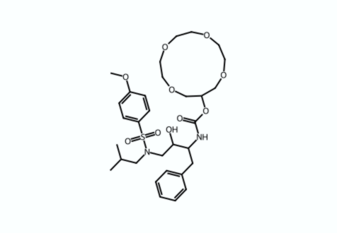 COc1ccc(S(=O)(=O)N(CC(C)C)CC(O)C(Cc2ccccc2)NC(=O)OC2COCCOCCOCCOC2)cc1